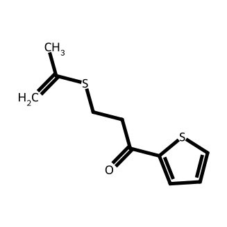 C=C(C)SCCC(=O)c1cccs1